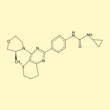 C[C@H]1COCCN1c1nc(-c2ccc(NC(=O)NC3CC3)cc2)nc2c1SCCC2